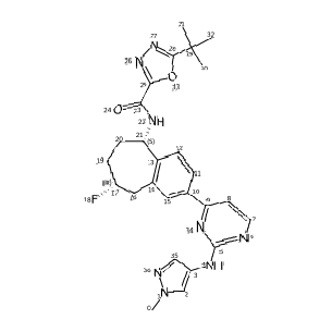 Cn1cc(Nc2nccc(-c3ccc4c(c3)C[C@H](F)CC[C@@H]4NC(=O)c3nnc(C(C)(C)C)o3)n2)cn1